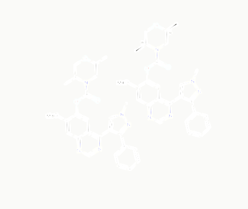 COc1cc2ncnc(-c3cn(C)nc3-c3ccccc3)c2cc1OC(=O)N1CC(C)OCC1C.COc1cc2ncnc(-c3cn(C)nc3-c3ccccc3)c2cc1OC(=O)N1C[C@H](C)OC[C@@H]1C